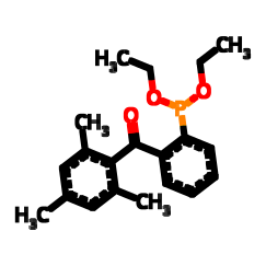 CCOP(OCC)c1ccccc1C(=O)c1c(C)cc(C)cc1C